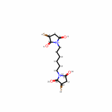 O=C1CC(=S)C(=O)N1CCCCCCN1C(=O)CC(=S)C1=O